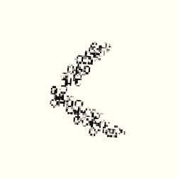 O=P([O-])([O-])[O-].O=P([O-])([O-])[O-].O=P([O-])([O-])[O-].O=[N+]([O-])[O-].O=[N+]([O-])[O-].[Ca+2].[Ca+2].[Ca+2].[Ca+2].[Ca+2].[Ca+2].[OH-]